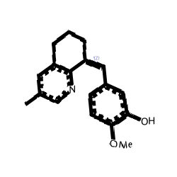 COc1ccc(/C=C2/CCCc3cc(C)cnc32)cc1O